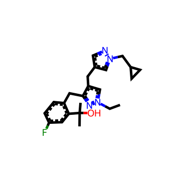 CCn1cc(Cc2cnn(CC3CC3)c2)c(Cc2ccc(F)cc2C(C)(C)O)n1